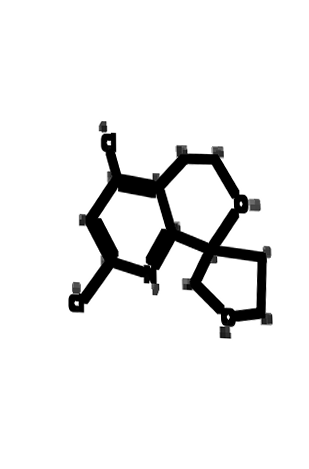 Clc1cc(Cl)c2c(n1)C1(CCOC1)OCC2